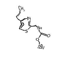 C=Cc1csc(NC(=O)OC(C)(C)C)n1